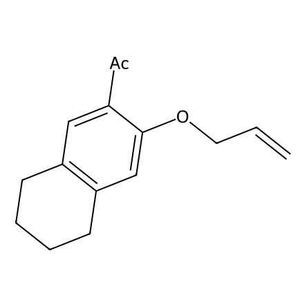 C=CCOc1cc2c(cc1C(C)=O)CCCC2